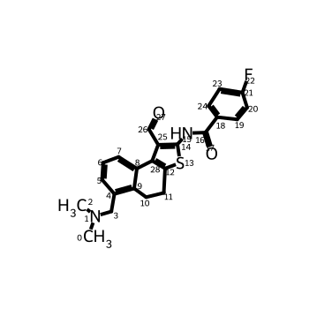 CN(C)Cc1cccc2c1CCc1sc(NC(=O)c3ccc(F)cc3)c(C=O)c1-2